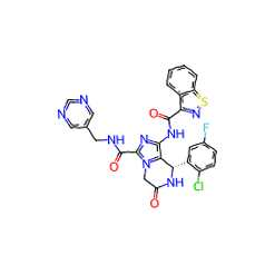 O=C1Cn2c(C(=O)NCc3cncnc3)nc(NC(=O)c3nsc4ccccc34)c2[C@H](c2cc(F)ccc2Cl)N1